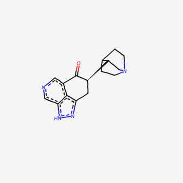 O=C1c2cncc3[nH]nc(c23)C[C@@H]1C1CN2CCC1CC2